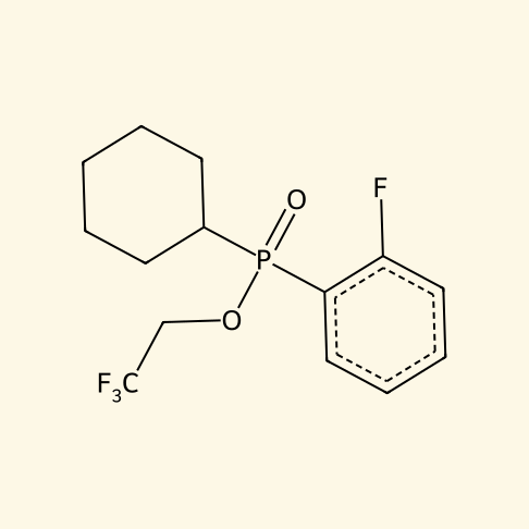 O=P(OCC(F)(F)F)(c1ccccc1F)C1CCCCC1